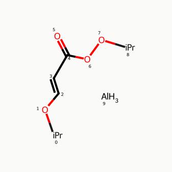 CC(C)OC=CC(=O)OOC(C)C.[AlH3]